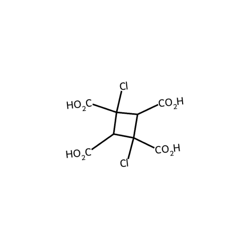 O=C(O)C1C(Cl)(C(=O)O)C(C(=O)O)C1(Cl)C(=O)O